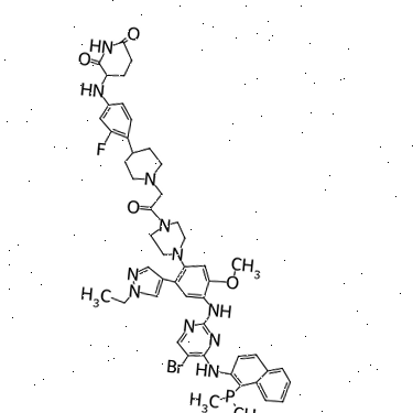 CCn1cc(-c2cc(Nc3ncc(Br)c(Nc4ccc5ccccc5c4P(C)C)n3)c(OC)cc2N2CCN(C(=O)CN3CCC(c4ccc(NC5CCC(=O)NC5=O)cc4F)CC3)CC2)cn1